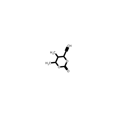 C#CC1OC(=O)OC(C)C1C